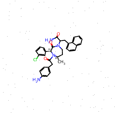 C[C@@H]1CCN(C(Cc2cccc3ccccc23)C(N)=O)C(=O)[C@H](c2cccc(Cl)c2)N1C(=O)Cc1ccc(N)cc1